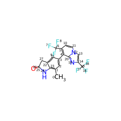 Cc1cc(-c2c(C(F)(F)F)ccn3cc(C(F)(F)F)nc23)cc2c1NC(=O)C2